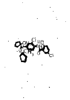 CC1(ON(c2ccc(NC(=O)c3cc(Cl)ccc3O)c(Cl)c2)C2(C)CCCC2)CCCC1